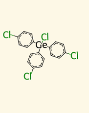 Clc1cc[c]([Ge]([Cl])([c]2ccc(Cl)cc2)[c]2ccc(Cl)cc2)cc1